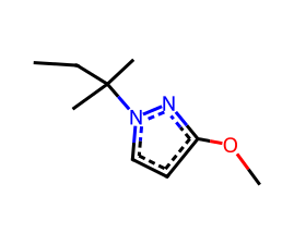 CCC(C)(C)n1ccc(OC)n1